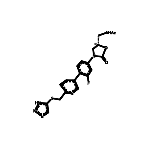 CC(=O)NC[C@H]1CN(c2ccc(-c3ccc(CSc4cnn[nH]4)nc3)c(F)c2)C(=O)O1